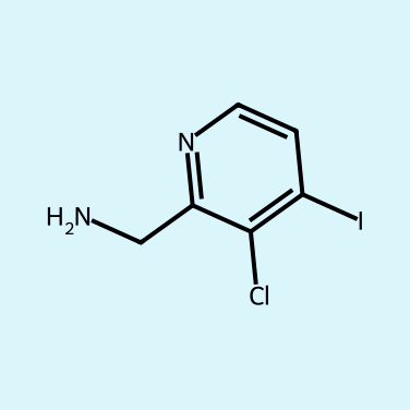 NCc1nccc(I)c1Cl